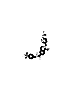 CCS(=O)(=O)c1ccc(CNC(=O)c2ccc3c(c2)CCN(Cc2ccc(OC(F)F)nc2)[C@H]3C(C)C)cc1